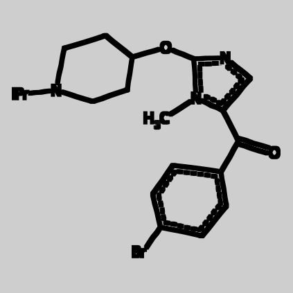 CC(C)N1CCC(Oc2ncc(C(=O)c3ccc(Br)cc3)n2C)CC1